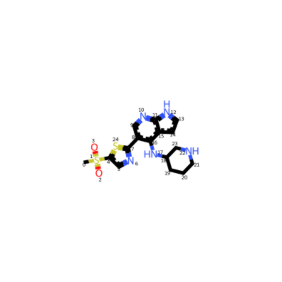 CS(=O)(=O)c1cnc(-c2cnc3[nH]ccc3c2NC2CCCNC2)s1